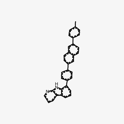 Cc1ccc(-c2ccc3cc(-c4ccc(-c5cccc6c5[nH]c5ncccc56)cc4)ccc3c2)cc1